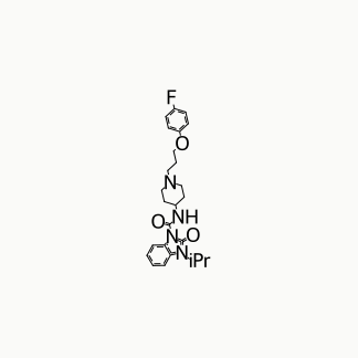 CC(C)n1c(=O)n(C(=O)NC2CCN(CCCOc3ccc(F)cc3)CC2)c2ccccc21